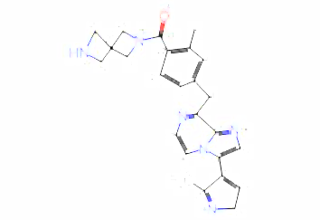 Cc1cc(Cc2nccn3c(C4=CCN=C4C(F)(F)F)cnc23)ccc1C(=O)N1CC2(CNC2)C1